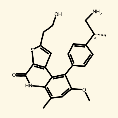 COc1cc(C)c2[nH]c(=O)c3sc(CCO)cc3c2c1-c1ccc([C@@H](C)CN)cc1